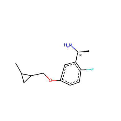 CC1CC1COc1ccc(F)c([C@H](C)N)c1